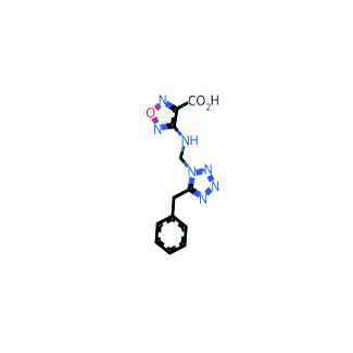 O=C(O)c1nonc1NCn1nnnc1Cc1ccccc1